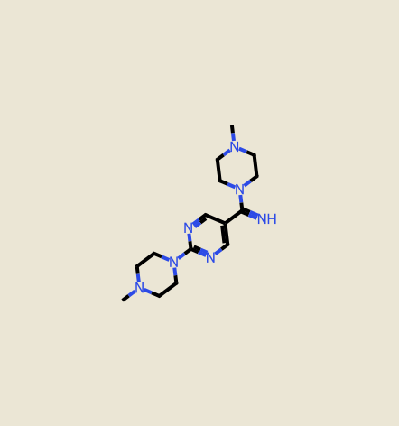 CN1CCN(C(=N)c2cnc(N3CCN(C)CC3)nc2)CC1